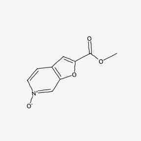 COC(=O)c1cc2cc[n+]([O-])cc2o1